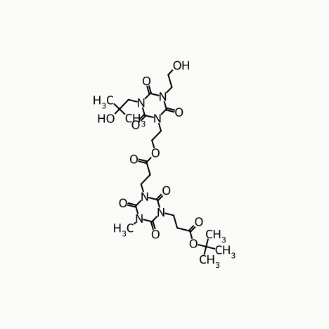 Cn1c(=O)n(CCC(=O)OCCn2c(=O)n(CCO)c(=O)n(CC(C)(C)O)c2=O)c(=O)n(CCC(=O)OC(C)(C)C)c1=O